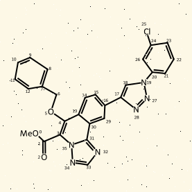 COC(=O)c1c(OCc2ccccc2)c2ccc(-c3cn(-c4cccc(Cl)c4)nn3)cc2c2ncnn12